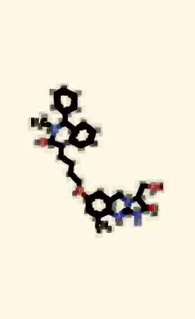 Cc1cc(OCCCCCC(=O)N(C)C(c2ccccc2)c2ccccc2)cc2c1N=C1NC(=O)C(CO)N1C2